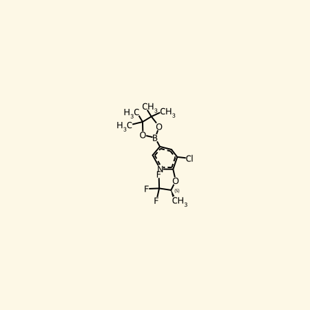 C[C@H](Oc1ncc(B2OC(C)(C)C(C)(C)O2)cc1Cl)C(F)(F)F